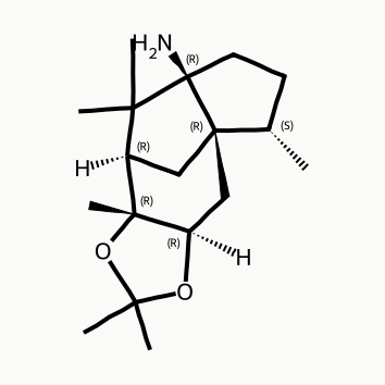 C[C@H]1CC[C@@]2(N)C(C)(C)[C@H]3C[C@@]12C[C@H]1OC(C)(C)O[C@]31C